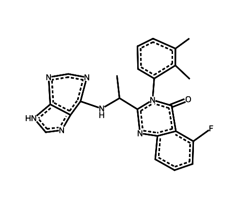 Cc1cccc(-n2c(C(C)Nc3ncnc4[nH]cnc34)nc3cccc(F)c3c2=O)c1C